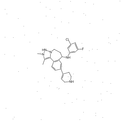 CC1=C2c3ccc(C4=CCNCC4)cc3C(Nc3cc(F)cc(Cl)c3)CCN2NN1C